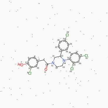 O=C(Cc1ccc(O)c(Cl)c1)N1CCN(c2ccc(Cl)cc2Cl)C(c2ccc(Cl)cc2)C1